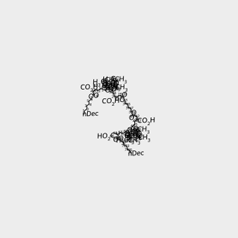 CCCCCCCCCCCCCCCCOC(=O)CC(CCC[Si](C)(O[Si](C)(C)C)O[Si](C)(CCCC(CC(=O)OCCCCCCOC(=O)CC(CCC[Si](C)(O[Si](C)(C)O[Si](C)(C)C)O[Si](C)(CCCC(CC(=O)O)C(=O)OCCCCCCCCCCCCCCCC)O[Si](C)(C)C)C(=O)O)C(=O)O)O[Si](C)(C)O[Si](C)(C)C)C(=O)O